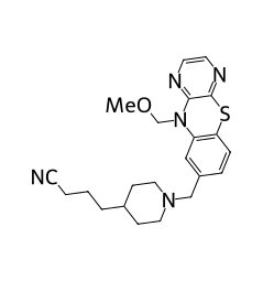 COCN1c2cc(CN3CCC(CCCC#N)CC3)ccc2Sc2nccnc21